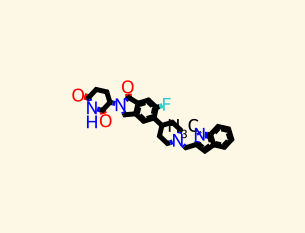 Cn1c(CN2CCC(c3cc4c(cc3F)C(=O)N(C3CCC(=O)NC3=O)C4)CC2)cc2ccccc21